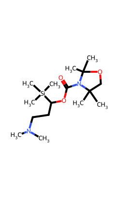 CN(C)CCC(OC(=O)N1C(C)(C)COC1(C)C)[Si](C)(C)C